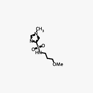 COCCCNS(=O)(=O)c1cn(C)cn1